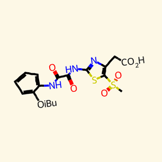 CC(C)COc1ccccc1NC(=O)C(=O)Nc1nc(CC(=O)O)c(S(C)(=O)=O)s1